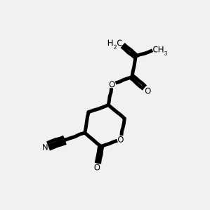 C=C(C)C(=O)OC1COC(=O)C(C#N)C1